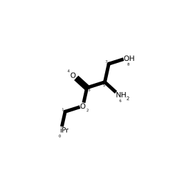 CC(C)COC(=O)C(N)CO